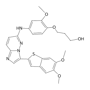 COc1cc2cc(-c3cnc4ccc(Nc5ccc(OCCCO)c(OC)c5)nn34)sc2cc1OC